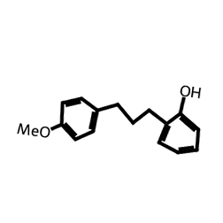 COc1ccc(CCCc2ccccc2O)cc1